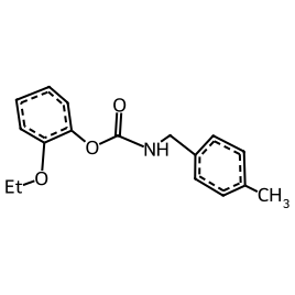 CCOc1ccccc1OC(=O)NCc1ccc(C)cc1